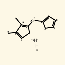 CC1=CC[C]([Zr][C]2=CC=CC2)=C1C.[H-].[H-]